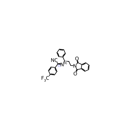 N#C/C(=N\[C@H](CCN1C(=O)c2ccccc2C1=O)c1ccccc1)c1ccc(C(F)(F)F)cc1